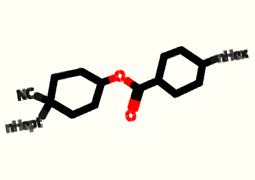 CCCCCCCC1(C#N)CCC(OC(=O)C2CCC(CCCCCC)CC2)CC1